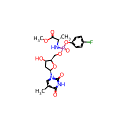 COC(=O)[C@H](C)NP(=O)(OC[C@H]1O[C@@H](n2cc(C)c(=O)[nH]c2=O)C[C@H]1O)Oc1ccc(F)cc1